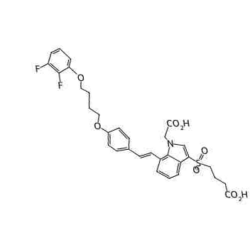 O=C(O)CCCS(=O)(=O)c1cn(CC(=O)O)c2c(C=Cc3ccc(OCCCCOc4cccc(F)c4F)cc3)cccc12